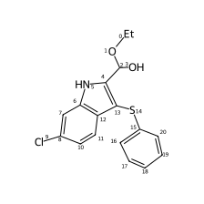 CCOC(O)c1[nH]c2cc(Cl)ccc2c1Sc1ccccc1